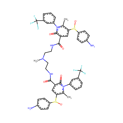 Cc1c([S+]([O-])c2ccc(N)cc2)cc(C(=O)NCCN(C)CCNC(=O)c2cc([S+]([O-])c3ccc(N)cc3)c(C)n(-c3cccc(C(F)(F)F)c3)c2=O)c(=O)n1-c1cccc(C(F)(F)F)c1